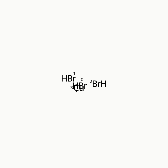 Br.Br.Br.[Cu]